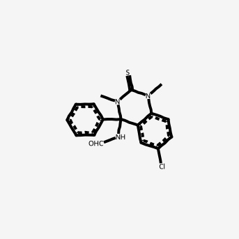 CN1C(=S)N(C)C(NC=O)(c2ccccc2)c2cc(Cl)ccc21